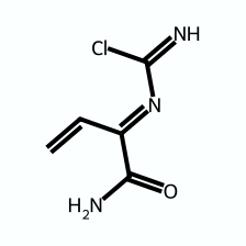 C=C/C(=N\C(=N)Cl)C(N)=O